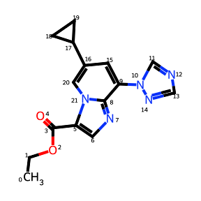 CCOC(=O)c1cnc2c(-n3cncn3)cc(C3CC3)cn12